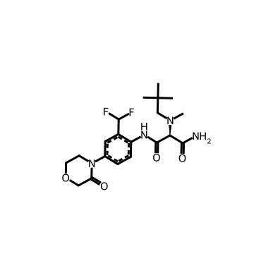 CN(CC(C)(C)C)[C@@H](C(N)=O)C(=O)Nc1ccc(N2CCOCC2=O)cc1C(F)F